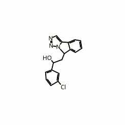 OC(CC1c2ccccc2-c2cnnn21)c1cccc(Cl)c1